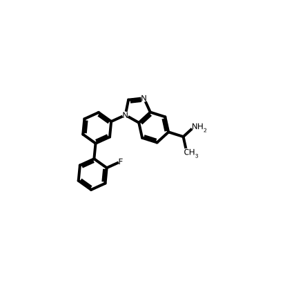 CC(N)c1ccc2c(c1)ncn2-c1cccc(-c2ccccc2F)c1